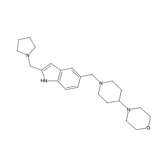 c1cc2[nH]c(CN3CCCC3)cc2cc1CN1CCC(N2CCOCC2)CC1